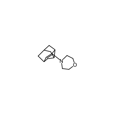 C1=C(N2CCOCC2)C2CC3CC1CC2C3